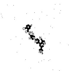 Cn1cc(-c2cc(-c3ccc(N4C[C@@H]5[C@@H](CNC(=O)c6cc(F)ccc6Cl)[C@@H]5C4)nc3)c3c(C#N)cnn3c2)cn1